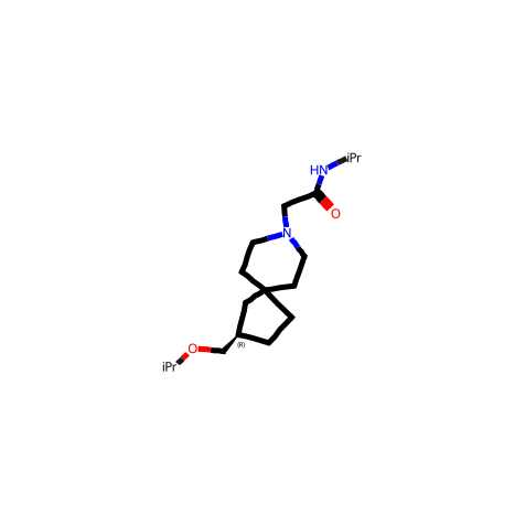 CC(C)NC(=O)CN1CCC2(CC[C@@H](COC(C)C)C2)CC1